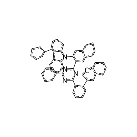 c1ccc(-c2nc(-c3ccccc3-c3ccc4ccccc4c3)nc(-c3cc4ccccc4cc3-n3c4ccccc4c4c(-c5ccccc5)cccc43)n2)cc1